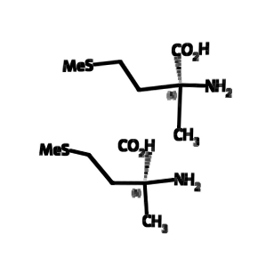 CSCC[C@](C)(N)C(=O)O.CSCC[C@](C)(N)C(=O)O